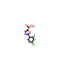 O=C(O)c1cnc(-c2ccc(Cl)cc2F)o1